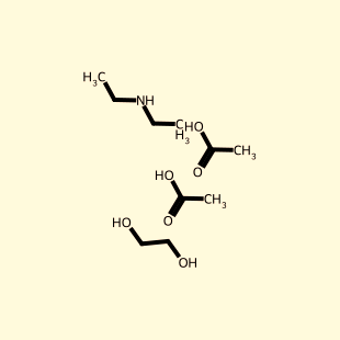 CC(=O)O.CC(=O)O.CCNCC.OCCO